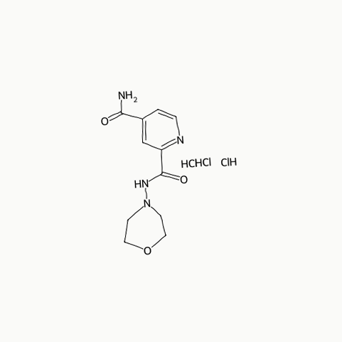 Cl.Cl.Cl.NC(=O)c1ccnc(C(=O)NN2CCOCC2)c1